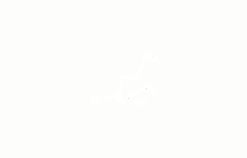 CCCCO.Cl.NN